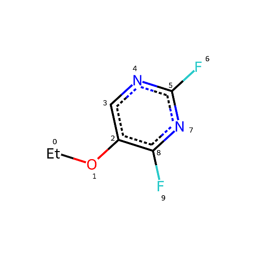 CCOc1cnc(F)nc1F